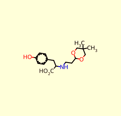 CC1(C)COC(CCNC(Cc2ccc(O)cc2)C(=O)O)OC1